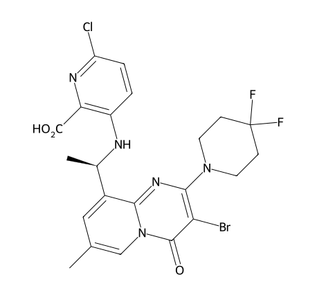 Cc1cc([C@@H](C)Nc2ccc(Cl)nc2C(=O)O)c2nc(N3CCC(F)(F)CC3)c(Br)c(=O)n2c1